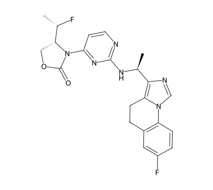 C[C@H](Nc1nccc(N2C(=O)OC[C@@H]2[C@H](C)F)n1)c1ncn2c1CCc1cc(F)ccc1-2